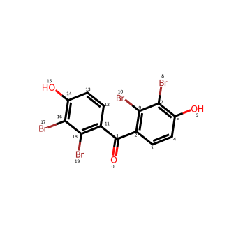 O=C(c1ccc(O)c(Br)c1Br)c1ccc(O)c(Br)c1Br